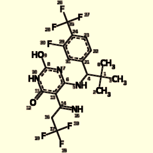 CC(C)(C)C(Nc1nc(O)[nH]c(=O)c1C(=N)CC(F)(F)F)c1ccc(C(F)(F)F)c(F)c1